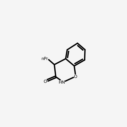 [CH2]CCC1C(=O)NOc2ccccc21